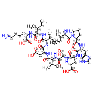 CC[C@H](C)[C@H](N)C(=O)N1CCC[C@H]1C(=O)N[C@@H](Cc1c[nH]cn1)C(=O)N[C@@H](CCC(=O)O)C(=O)N[C@@H](CO)C(=O)N[C@H](C(=O)N[C@@H](CC(=O)O)C(=O)N[C@H](C(=O)N[C@H](C(=O)N[C@@H](CCCCN)C(=O)O)[C@@H](C)CC)C(C)C)C(C)C